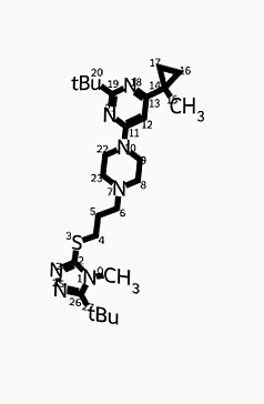 Cn1c(SCCCN2CCN(c3cc(C4(C)CC4)nc(C(C)(C)C)n3)CC2)nnc1C(C)(C)C